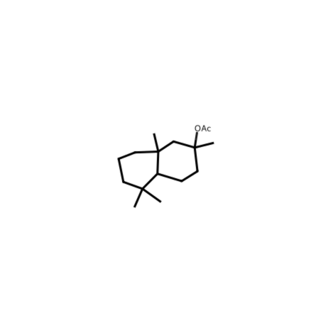 CC(=O)OC1(C)CCC2C(C)(C)CCCC2(C)C1